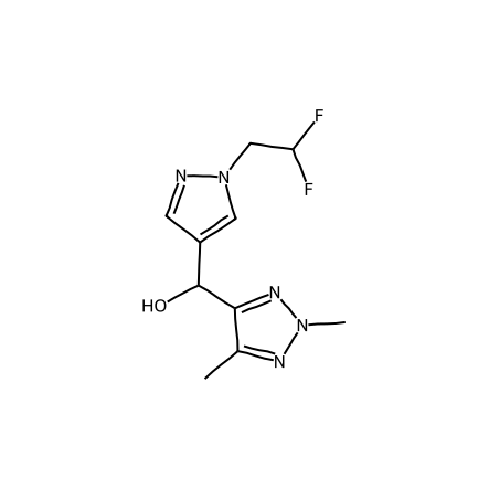 Cc1nn(C)nc1C(O)c1cnn(CC(F)F)c1